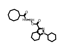 O=C(ONNC(=O)C1CCCCCCC1)c1nn(C2CCCCC2)c2c1CCCC2